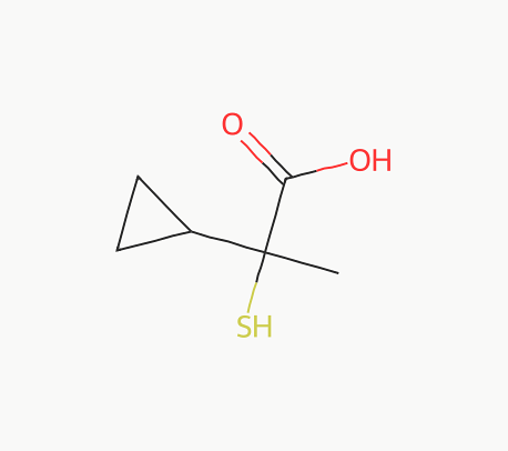 CC(S)(C(=O)O)C1CC1